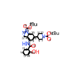 CC(C)(C)OC(=O)N1CCC(c2cc(NC(=O)c3ccccc3O)c3cnn(C(=O)OC(C)(C)C)c3c2)CC1